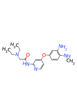 CCN(CC)CC(=O)Nc1cc(Oc2ccc(NC)c(N)c2)ccn1